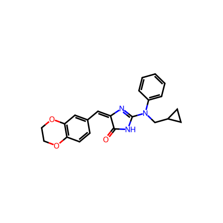 O=C1NC(N(CC2CC2)c2ccccc2)=NC1=Cc1ccc2c(c1)OCCO2